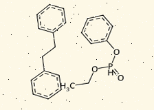 CCO[PH](=O)Oc1ccccc1.c1ccc(CCc2ccccc2)cc1